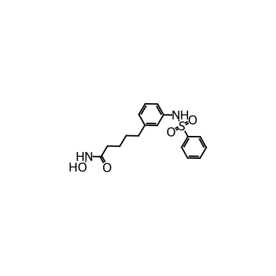 O=C(CCCCc1cccc(NS(=O)(=O)c2ccccc2)c1)NO